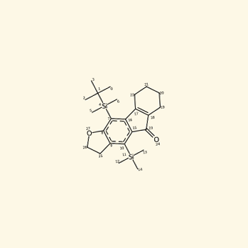 CC(C)(C)[Si](C)(C)c1c2c(c([Si](C)(C)C)c3c1C1=C(CCCC1)C3=O)CCO2